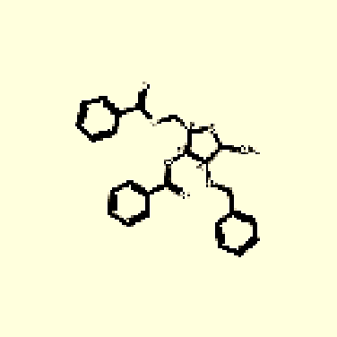 CC(=O)OC1S[C@H](COC(=O)c2ccccc2)[C@H](OC(=O)c2ccccc2)[C@@H]1OCc1ccccc1